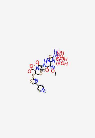 CCO/N=C(\C(=O)N[C@@H]1C(=O)N2C(C(=O)[O-])=C(Sc3nc(-c4cc[n+](C)cc4)cs3)CS[C@H]12)c1nsc(NP(=O)(O)OP(=O)(O)O)n1